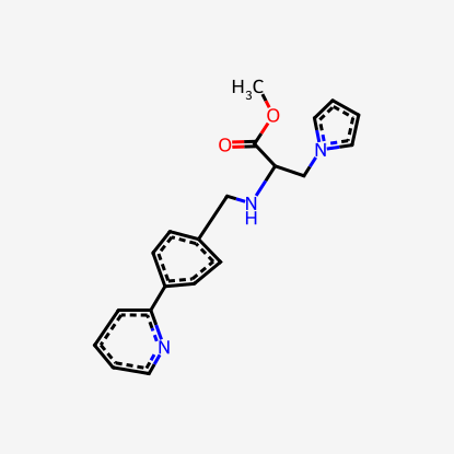 COC(=O)C(Cn1cccc1)NCc1ccc(-c2ccccn2)cc1